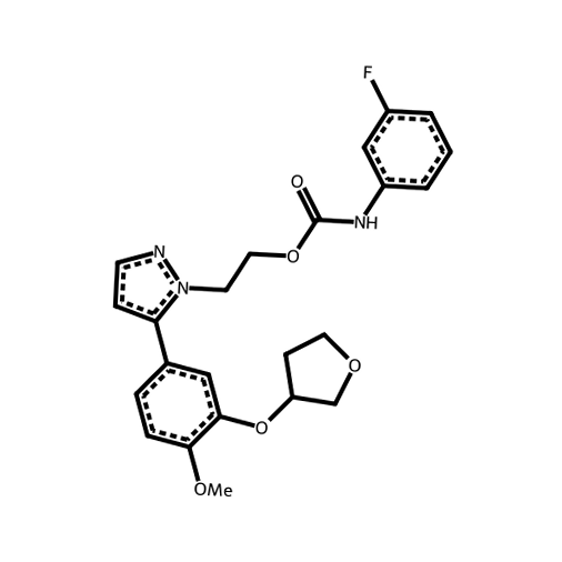 COc1ccc(-c2ccnn2CCOC(=O)Nc2cccc(F)c2)cc1OC1CCOC1